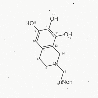 CCCCCCCCCCN1CCc2cc(O)c(O)c(O)c2C1